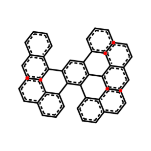 c1ccc(-c2cc(-c3cccc4ccccc34)c(-c3cccc4ccccc34)c(-c3cccc4ccccc34)c2-c2cccc3ccccc23)cc1